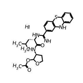 CC(=O)OC1OCC[C@@H]1NC(=O)[C@H](CC(C)C)NC(=N)c1ccc2c(c1)Nc1ccccc1S2.I